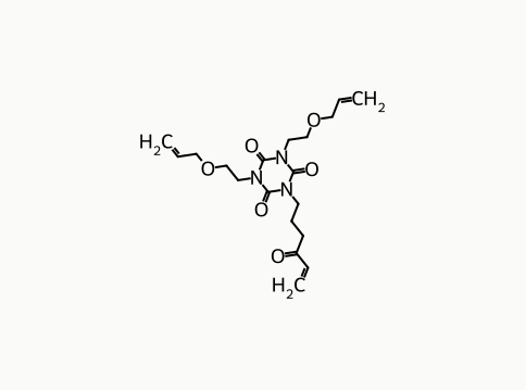 C=CCOCCn1c(=O)n(CCCC(=O)C=C)c(=O)n(CCOCC=C)c1=O